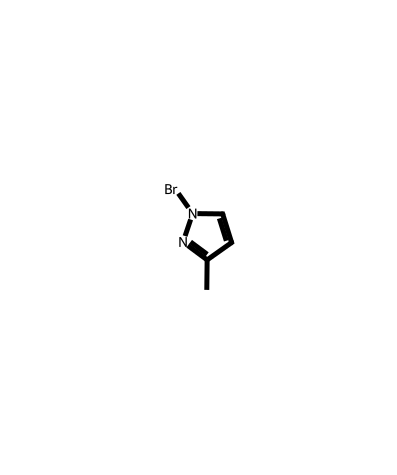 Cc1ccn(Br)n1